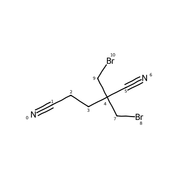 N#CCCC(C#N)(CBr)CBr